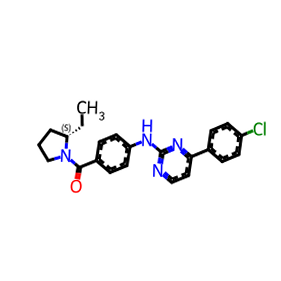 CC[C@H]1CCCN1C(=O)c1ccc(Nc2nccc(-c3ccc(Cl)cc3)n2)cc1